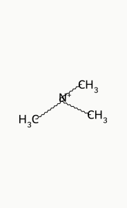 CCCCCCCCCCCCCCCCc1cc[n+](CCCCCCCCCCCC)cc1CCCCCCCCCCCCCCCC